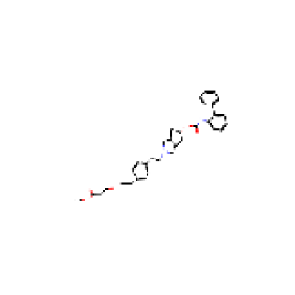 CC(C)(C)OC(=O)CCOCCc1ccc(CCN2CC3CC(OC(=O)Nc4ccccc4-c4ccccc4)C[C@@H]3C2)cc1